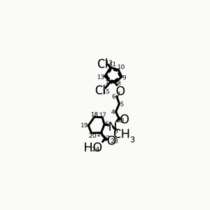 CN(C(=O)CCCOc1ccc(Cl)cc1Cl)C1CCCCC1C(=O)O